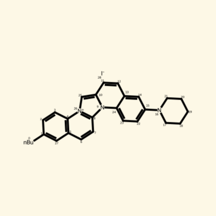 CCCCc1ccc2c(ccc3n4c(ccc5cc(N6CCCCC6)ccc54)c[n+]23)c1.[I-]